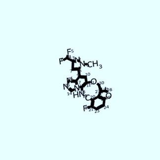 Cn1nc(C(F)F)cc1-c1cc2c(n3cnnc13)NCc1c(F)ccc3c1[C@@H](CO3)CO2